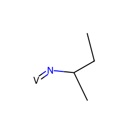 CCC(C)[N]=[V]